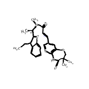 CCc1c([C@@H](C)N(C)C(=O)/C=C/c2cnc3c(c2)OCC(C)(C)C(=O)N3)oc2c1=CCCC=2